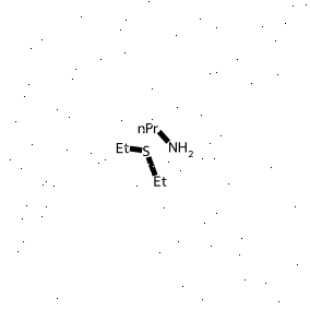 CCCN.CCSCC